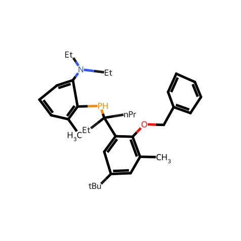 CCCC(CC)(Pc1c(C)cccc1N(CC)CC)c1cc(C(C)(C)C)cc(C)c1OCc1ccccc1